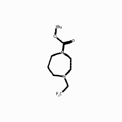 CC(C)(C)OC(=O)N1CCCN(CC(F)(F)F)CC1